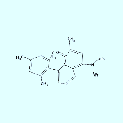 CCCN(CCC)c1cc(C)c(=O)n2c(-c3c(C)cc(C)cc3C)cccc12